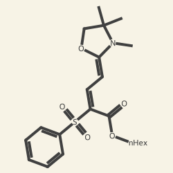 CCCCCCOC(=O)C(=CC=C1OCC(C)(C)N1C)S(=O)(=O)c1ccccc1